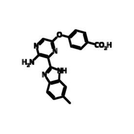 Cc1ccc2nc(-c3nc(Oc4ccc(C(=O)O)cc4)cnc3N)[nH]c2c1